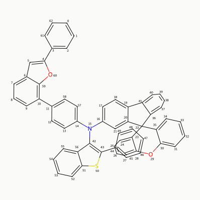 c1ccc(-c2cc3cccc(-c4ccc(N(c5ccc6c(c5)C5(c7ccccc7Oc7ccccc75)c5ccccc5-6)c5c(-c6ccccc6)sc6ccccc56)cc4)c3o2)cc1